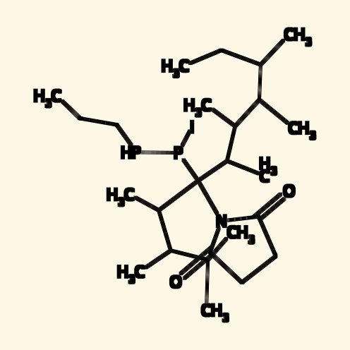 CCCPP(I)C(C(C)C(C)C(C)C)(C(C)C(C)C(C)C(C)CC)N1C(=O)CCC1=O